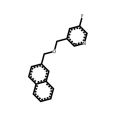 Fc1cncc(COCc2ccc3ccccc3c2)c1